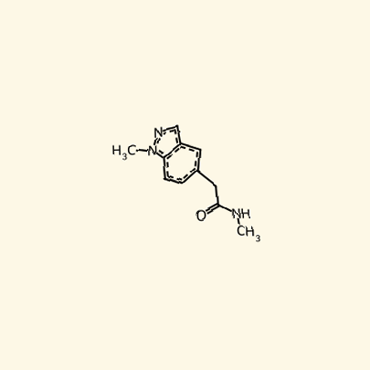 CNC(=O)Cc1ccc2c(cnn2C)c1